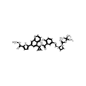 COC(=O)c1ccc(-c2cc(C3(NC(=O)c4cc(OC[C@@H]5CCN5C(=O)OC(C)(C)C)ccc4C)CC3)c3cccnc3c2)s1